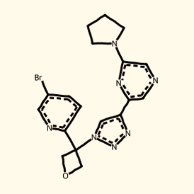 Brc1ccc(C2(n3cc(-c4cncc(N5CCCC5)n4)nn3)COC2)nc1